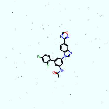 CC(=O)Nc1cc(-c2ccc(F)cc2F)cc(-n2cnc3cc(-c4ncon4)ccc32)c1